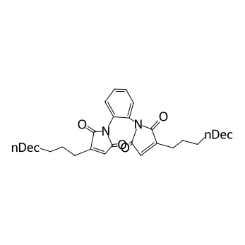 CCCCCCCCCCCCCC1=CC(=O)N(c2ccccc2N2C(=O)C=C(CCCCCCCCCCCCC)C2=O)C1=O